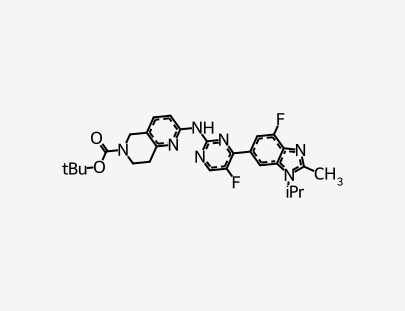 Cc1nc2c(F)cc(-c3nc(Nc4ccc5c(n4)CCN(C(=O)OC(C)(C)C)C5)ncc3F)cc2n1C(C)C